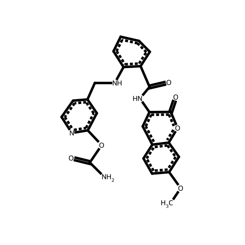 COc1ccc2cc(NC(=O)c3ccccc3NCc3ccnc(OC(N)=O)c3)c(=O)oc2c1